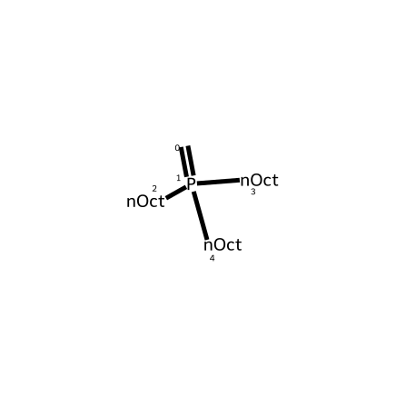 C=P(CCCCCCCC)(CCCCCCCC)CCCCCCCC